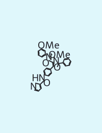 COc1cccc(N(OC)C(=O)c2nc(-c3ccccc3)oc2-c2ccc(NC(=O)c3cccnc3)cc2)c1